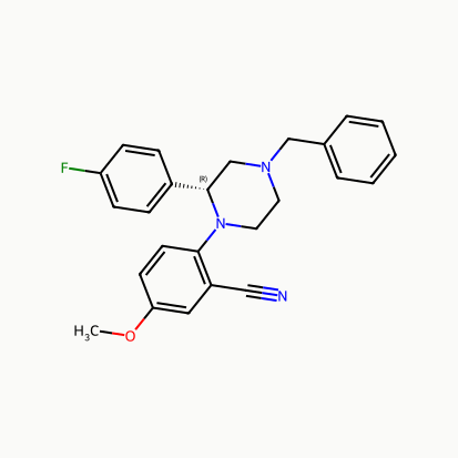 COc1ccc(N2CCN(Cc3ccccc3)C[C@H]2c2ccc(F)cc2)c(C#N)c1